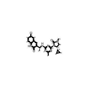 Cc1nc(N[C@@H](C)c2cc3cc(Cl)ccc3[nH]c2=O)nc(N2C(=O)N(C)C[C@@H]2C2CC2)n1